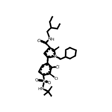 CCC(CC)CNC(=O)c1cc(-c2ccc(S(=O)(=O)NC(C)(C)C)c(Cl)c2Cl)n(CC2CCCCC2)c1C